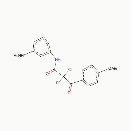 COc1ccc(C(=O)C(Cl)(Cl)C(=O)Nc2cccc(NC(C)=O)c2)cc1